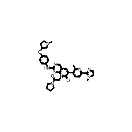 Cc1nc(-c2nccn2C)ccc1-c1cc2cnc(Nc3ccc(OC4CCN(C)C4)cc3)nc2n(CC(=O)N2CCCC2)c1=O